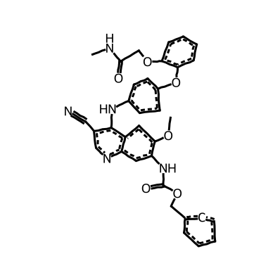 CNC(=O)COc1ccccc1Oc1ccc(Nc2c(C#N)cnc3cc(NC(=O)OCc4ccccc4)c(OC)cc23)cc1